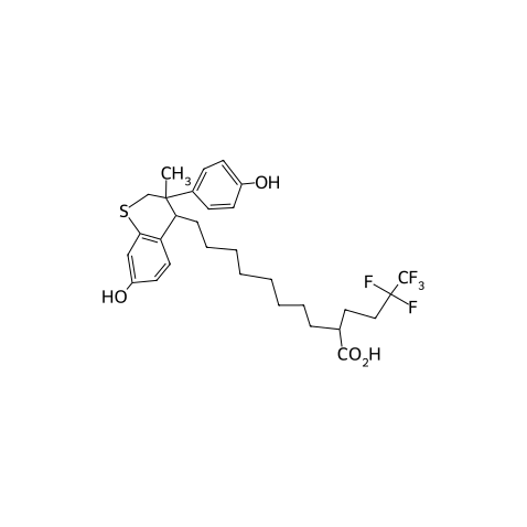 CC1(c2ccc(O)cc2)CSc2cc(O)ccc2C1CCCCCCCCC(CCC(F)(F)C(F)(F)F)C(=O)O